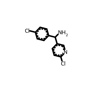 NC(c1ccc(Cl)cc1)c1ccc(Cl)nc1